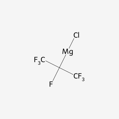 FC(F)(F)[C](F)([Mg][Cl])C(F)(F)F